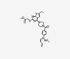 C=C/C=C\N(N)c1ccc(C(=O)N2CCN(c3nc(SCC(=O)OC)nc4sc(CC)cc34)CC2)cc1